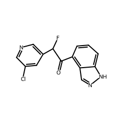 O=C(c1cccc2[nH]ncc12)C(F)c1cncc(Cl)c1